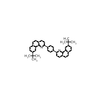 CC(C)(C)c1ccc2ccc3ccc(-c4ccc(-c5ccc6ccc7ccc(C(C)(C)C)cc7c6n5)cc4)nc3c2c1